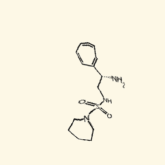 N[C@H](CNS(=O)(=O)N1CCCCC1)c1ccccc1